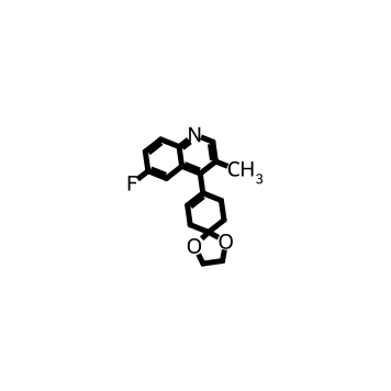 Cc1cnc2ccc(F)cc2c1C1=CCC2(CC1)OCCO2